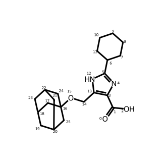 O=C(O)c1nc(C2CCCCC2)[nH]c1COC12CC3CC(CC(C3)C1)C2